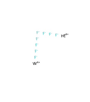 [F-].[F-].[F-].[F-].[F-].[F-].[F-].[F-].[Hf+4].[W+4]